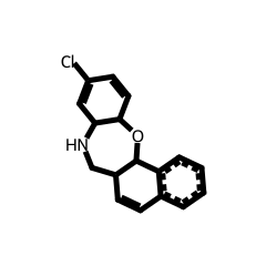 ClC1=CC2NCC3C=Cc4ccccc4C3OC2C=C1